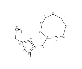 CCn1cnc(CC2CCCCCCCC2)c1